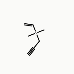 C#CCS(C)(C)C=C